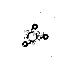 C[C@H]1OC(=O)C(Cc2ccccc2)OC(=O)[C@H](C)[C@H](O)[C@H](Cc2ccccc2)NC(=O)[C@H]1NC(=O)c1ccccc1O